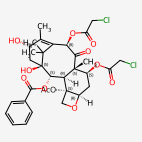 CC(=O)O[C@@]12CO[C@@H]1C[C@H](OC(=O)CCl)[C@@]1(C)C(=O)[C@H](OC(=O)CCl)C3=C(C)[C@@H](O)C[C@@](O)([C@@H](OC(=O)c4ccccc4)[C@H]21)C3(C)C